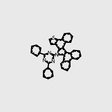 c1ccc(-c2nc(-c3ccccc3)nc(-n3c4c5ccccc5c5ccccc5c4c4c5ccccc5c5sccc5c43)n2)cc1